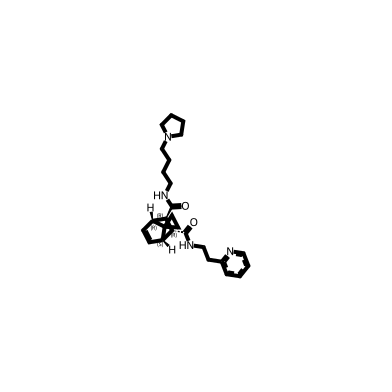 O=C(NCCCCN1CCCC1)[C@H]1[C@H](C(=O)NCCc2ccccn2)[C@@H]2C=C[C@H]1C21CC1